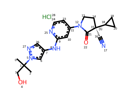 CC(C)(CO)n1cc(Nc2cc(N3CC[C@@](C#N)(C4CC4)C3=O)ccn2)cn1.Cl